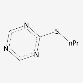 CCCSc1ncncn1